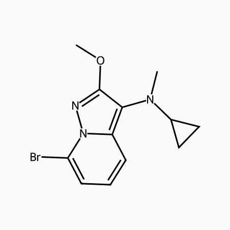 COc1nn2c(Br)cccc2c1N(C)C1CC1